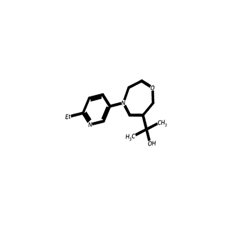 CCc1ccc(N2CCOCC(C(C)(C)O)C2)cn1